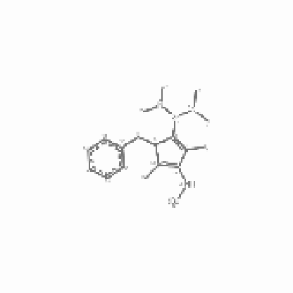 CC1=[C]([Zr]([N](C)C)[N](C)C)C(Cc2ccccc2)C(C)=C1NC(C)(C)C